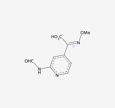 CO/N=C(\C(=O)O)c1ccnc(NC=O)c1